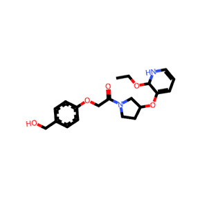 CCOC1NC=CC=C1OC1CCN(C(=O)COc2ccc(CO)cc2)C1